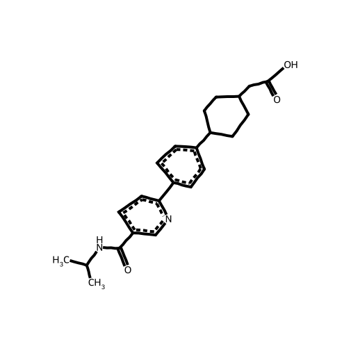 CC(C)NC(=O)c1ccc(-c2ccc(C3CCC(CC(=O)O)CC3)cc2)nc1